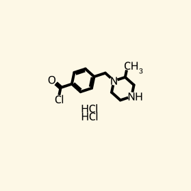 CC1CNCCN1Cc1ccc(C(=O)Cl)cc1.Cl.Cl